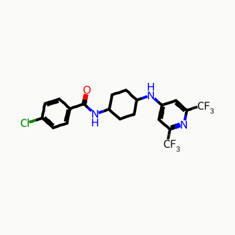 O=C(NC1CCC(Nc2cc(C(F)(F)F)nc(C(F)(F)F)c2)CC1)c1ccc(Cl)cc1